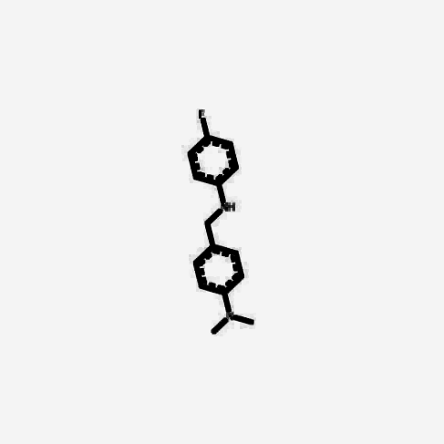 CN(C)c1ccc(CNc2ccc(F)cc2)cc1